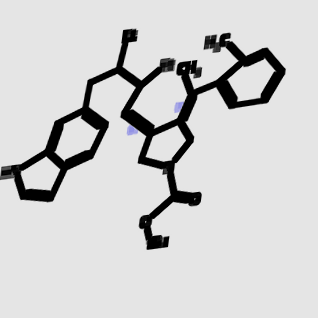 CCC(/C=C1/CN(C(=O)OC(C)(C)C)C/C1=C(/C)c1ccccc1C)C(CC)Cc1ccc2cc[nH]c2c1